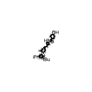 CC(C)c1cc(N2CCN(CCC3CC(NC(=O)C4CCC(O)CC4)C3)C[C@@H]2C)nc(C(C)(C)C)n1